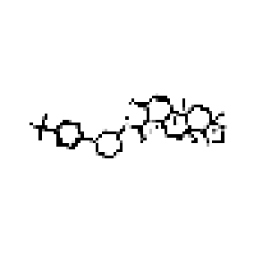 CC(C)(C)c1ccc(C2CCSC(NC(=O)N3C(=O)C=C[C@]4(C)[C@H]5CC[C@]6(C)CCC[C@H]6[C@@H]5CC[C@@H]34)C2)cc1